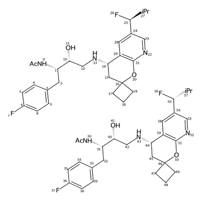 CC(=O)N[C@@H](Cc1ccc(F)cc1)[C@H](O)CN[C@H]1CC2(CCC2)Oc2ncc([C@@H](F)C(C)C)cc21.CC(=O)N[C@@H](Cc1ccc(F)cc1)[C@H](O)CN[C@H]1CC2(CCC2)Oc2ncc([C@H](F)C(C)C)cc21